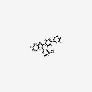 Clc1ccnc(-n2c(-c3ccc(N4CCOCC4)nc3)nc3ccncc32)c1